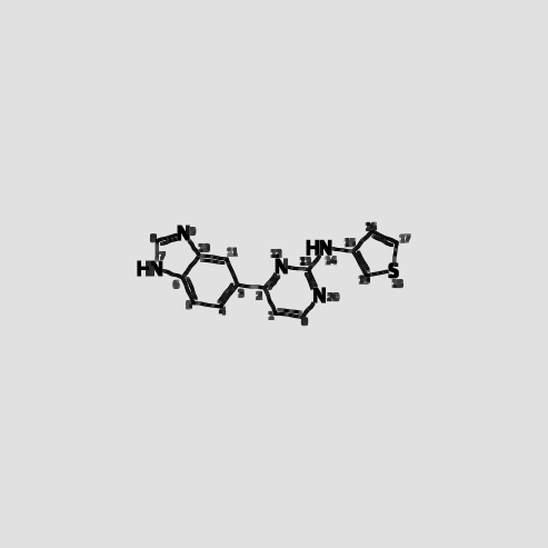 c1cc(-c2ccc3[nH]cnc3c2)nc(Nc2ccsc2)n1